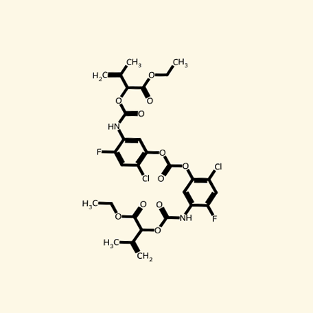 C=C(C)C(OC(=O)Nc1cc(OC(=O)Oc2cc(NC(=O)OC(C(=C)C)C(=O)OCC)c(F)cc2Cl)c(Cl)cc1F)C(=O)OCC